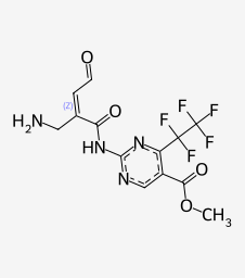 COC(=O)c1cnc(NC(=O)/C(=C\C=O)CN)nc1C(F)(F)C(F)(F)F